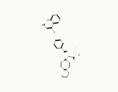 Cc1cc(COc2ccc(C(=O)NC3(CC(=O)NO)CCC4(CCCO4)CC3)cc2)c2ccccc2n1